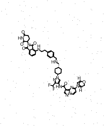 O=C1CCC(N2C(=O)c3cccc(NCCc4ccc(CNC[C@H]5CC[C@H](n6cc(NC(=O)c7cnn8ccc(N9C[C@H]%10C[C@@H]9CO%10)nc78)c(C(F)F)n6)CC5)cc4)c3C2=O)C(=O)N1